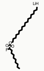 CCCCCCCCCCCCCCCCCCOS(=O)(=O)C(F)CCCCCCCCC.[LiH]